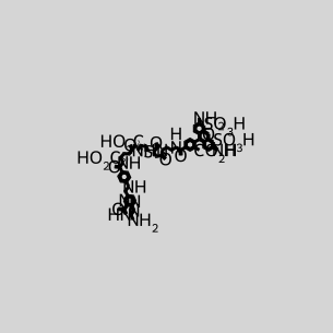 N=c1ccc2c(-c3ccc(C(=O)NCCN4C(=O)CC(SC[C@H](NC(=O)CC[C@H](NC(=O)c5ccc(NCc6cnc7nc(N)[nH]c(=O)c7n6)cc5)C(=O)O)C(=O)O)C4=O)cc3C(=O)O)c3ccc(N)c(S(=O)(=O)O)c3oc-2c1S(=O)(=O)O